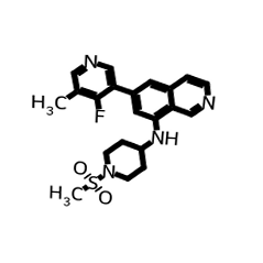 Cc1cncc(-c2cc(NC3CCN(S(C)(=O)=O)CC3)c3cnccc3c2)c1F